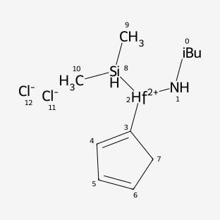 CCC(C)[NH][Hf+2]([C]1=CC=CC1)[SiH](C)C.[Cl-].[Cl-]